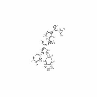 Cc1cccc(-n2nc(C(=O)Nc3cnn([S+]([O-])C4CC4)c3)cc2-c2ccc3ncsc3c2)n1